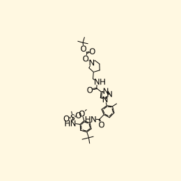 COc1c(NC(=O)c2ccc(C)c(-n3cc(C(=O)NCC4CCCN(OC(=O)OC(C)(C)C)C4)nn3)c2)cc(C(C)(C)C)cc1NS(C)(=O)=O